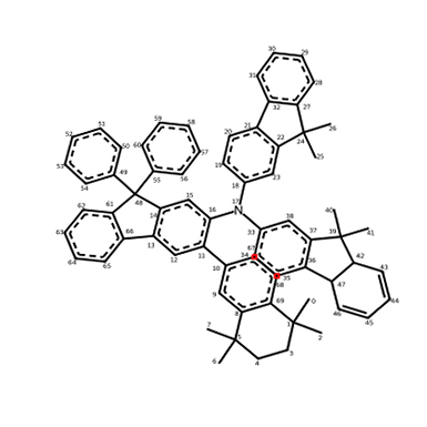 CC1(C)CCC(C)(C)c2cc(-c3cc4c(cc3N(c3ccc5c(c3)C(C)(C)c3ccccc3-5)c3ccc5c(c3)C(C)(C)C3C=CC=CC53)C(c3ccccc3)(c3ccccc3)c3ccccc3-4)ccc21